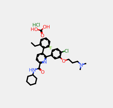 CCc1cccc(F)c1-c1ccc(C(=O)NC2CCCCC2)nc1-c1ccc(Cl)c(OCCCN(C)C)c1.Cl.O=C(O)O